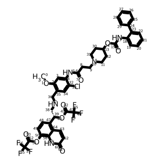 COc1cc(NC(=O)CCN2CCC(OC(=O)Nc3ccccc3-c3ccccc3)CC2)c(Cl)cc1CNC[C@H](OC(=O)C(F)(F)F)c1ccc(OC(=O)C(F)(F)F)c2[nH]c(=O)ccc12